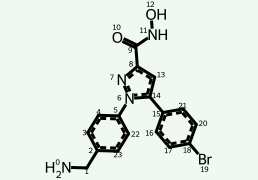 NCc1ccc(-n2nc(C(=O)NO)cc2-c2ccc(Br)cc2)cc1